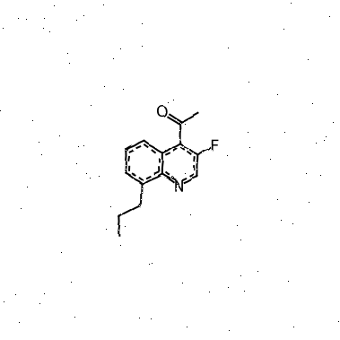 CCCc1cccc2c(C(C)=O)c(F)cnc12